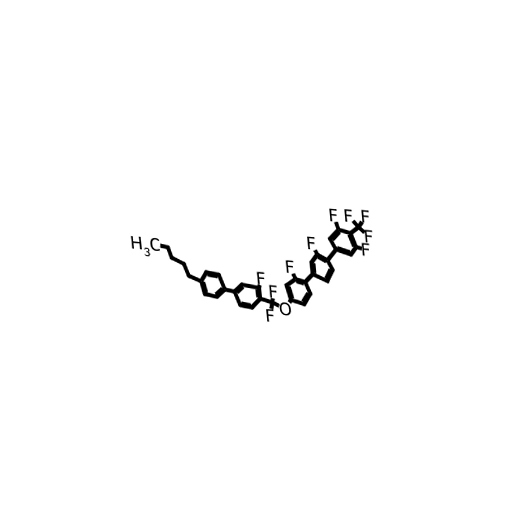 CCCCCc1ccc(-c2ccc(C(F)(F)Oc3ccc(-c4ccc(-c5cc(F)c(C(F)(F)F)c(F)c5)c(F)c4)c(F)c3)c(F)c2)cc1